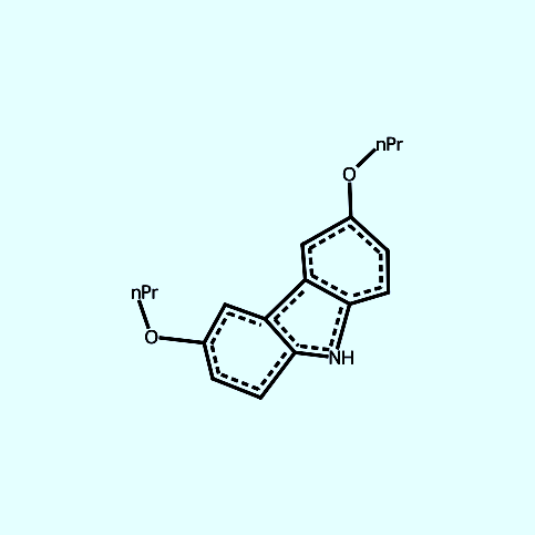 CCCOc1ccc2[nH]c3ccc(OCCC)cc3c2c1